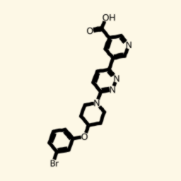 O=C(O)c1cncc(-c2ccc(N3CCC(Oc4cccc(Br)c4)CC3)nn2)c1